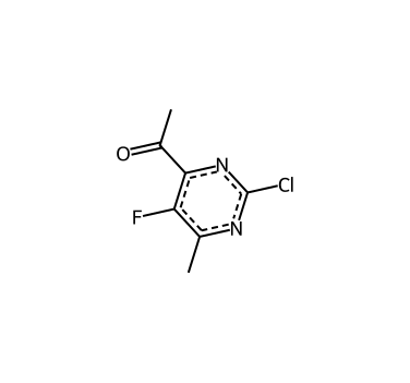 CC(=O)c1nc(Cl)nc(C)c1F